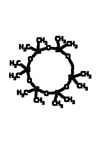 C[Si]1(C)CO[Si](C)(C)O[Si](C)(C)O[Si](C)(C)O[Si](C)(C)O[Si](C)(C)O1